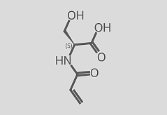 C=CC(=O)N[C@@H](CO)C(=O)O